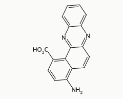 Nc1ccc(C(=O)O)c2c1ccc1nc3ccccc3nc12